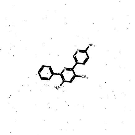 Cc1cc(N)c(-c2ccccc2)nc1-c1ccc(N)nc1